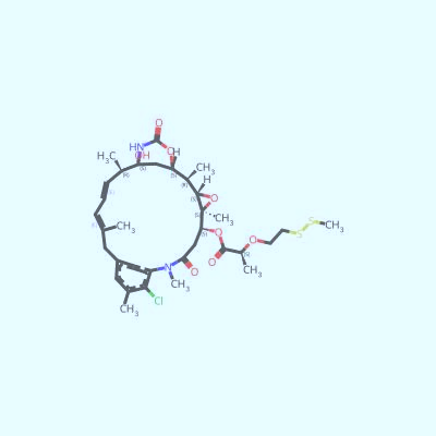 CSSCCO[C@@H](C)C(=O)O[C@H]1CC(=O)N(C)c2cc(cc(C)c2Cl)C/C(C)=C/C=C/[C@@H](C)[C@@]2(O)C[C@H](OC(=O)N2)[C@@H](C)[C@@H]2O[C@@]12C